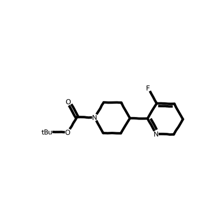 CC(C)(C)OC(=O)N1CCC(C2=NCCC=C2F)CC1